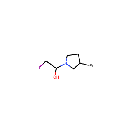 CCC1CCN(C(O)CI)C1